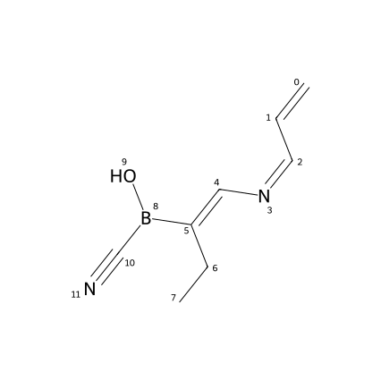 C=C/C=N\C=C(/CC)B(O)C#N